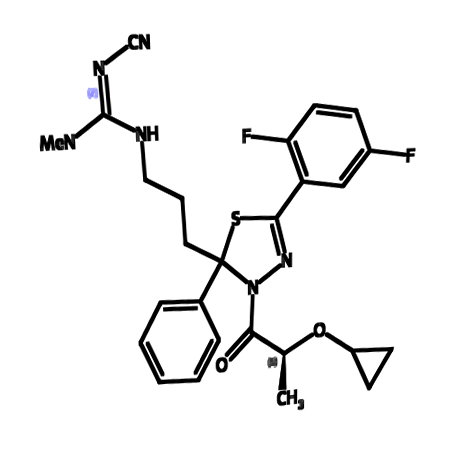 CN/C(=N/C#N)NCCCC1(c2ccccc2)SC(c2cc(F)ccc2F)=NN1C(=O)[C@H](C)OC1CC1